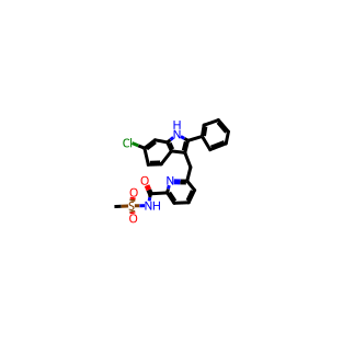 CS(=O)(=O)NC(=O)c1cccc(Cc2c(-c3ccccc3)[nH]c3cc(Cl)ccc23)n1